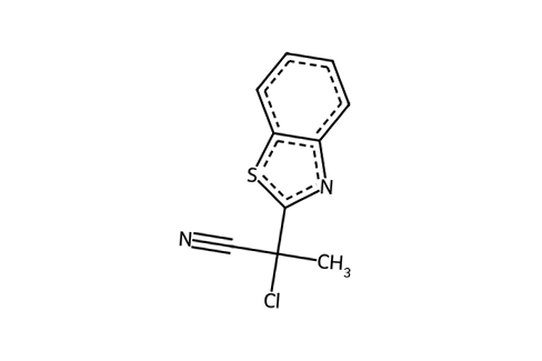 CC(Cl)(C#N)c1nc2ccccc2s1